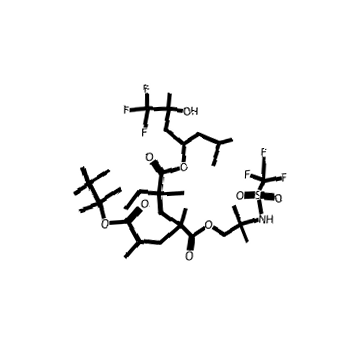 CCC(C)(CC(C)(CC(C)C(=O)OC(C)(C)C(C)(C)C)C(=O)OCC(C)(C)NS(=O)(=O)C(F)(F)F)C(=O)OC(CC(C)C)CC(C)(O)C(F)(F)F